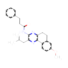 COc1ccc2c(c1)CCc1nc(NC(=O)CCc3ccccc3)c(CC(C)C)nc1-2